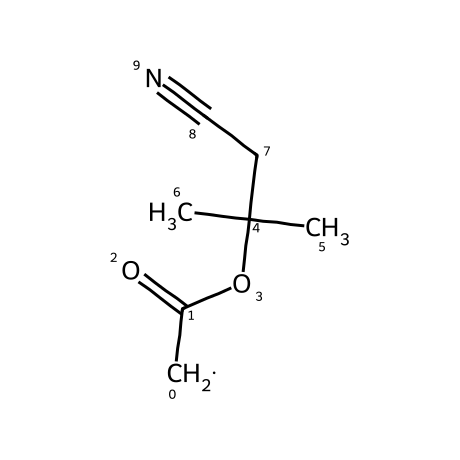 [CH2]C(=O)OC(C)(C)CC#N